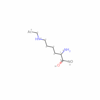 CC(=O)CNCCCCC(N)C(=O)N=O